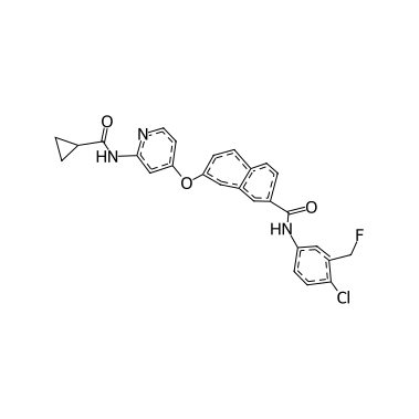 O=C(Nc1ccc(Cl)c(CF)c1)c1ccc2ccc(Oc3ccnc(NC(=O)C4CC4)c3)cc2c1